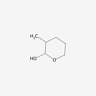 CC1CCCOC1O